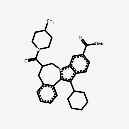 COC(=O)c1ccc2c(C3CCCCC3)c3n(c2c1)CC(C(=O)N1CCC(C)CC1)Cc1ccccc1-3